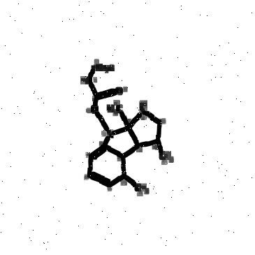 CCCCCCCNC(=O)ON1C2=CC=CC(C)C2C2C(C)CNC21C